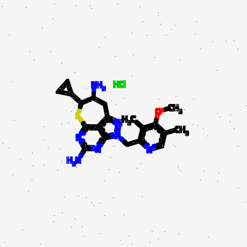 COc1c(C)cnc(Cn2nc3c4c(nc(N)nc42)SC(C2CC2)C(N)C3)c1C.Cl